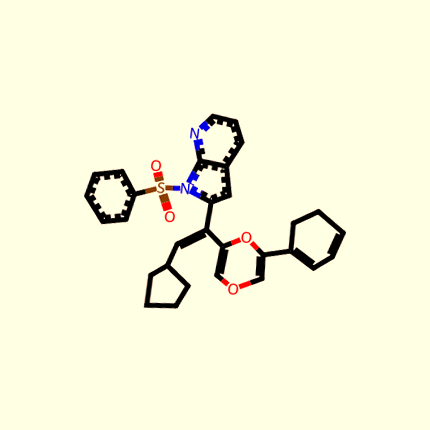 O=S(=O)(c1ccccc1)n1c(C(=CC2CCCC2)C2=COC=C(C3=CC=CCC3)O2)cc2cccnc21